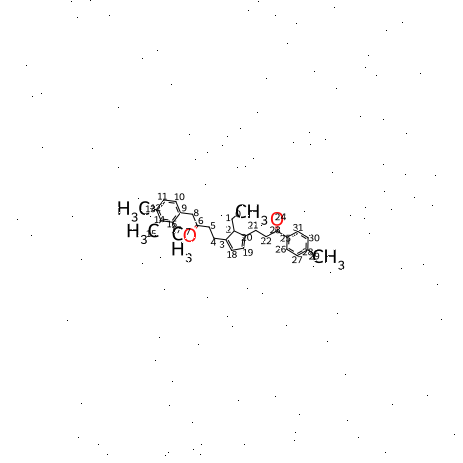 CCC1C(CCC(=O)Cc2ccc(C)c(C)c2C)=CC=C1CCC(=O)c1ccc(C)cc1